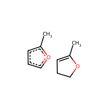 CC1=CCCO1.Cc1ccco1